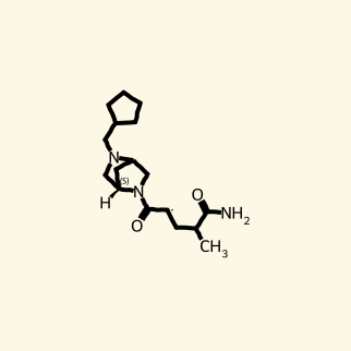 CC(C[CH]C(=O)N1CC2C[C@H]1CN2CC1CCCC1)C(N)=O